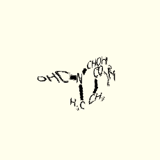 CC(=O)O.CN(C)C=O.O